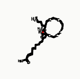 C[N+]1(C)C(CCCN)CCCCCCCCCCCC1(CCCCCCCCC=CC(=O)O)C(=O)[O-]